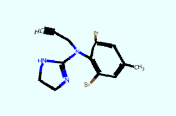 C#CCN(C1=NCCN1)c1c(Br)cc(C)cc1Br